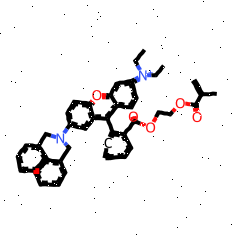 C=C(C)C(=O)OCCOC(=O)c1ccccc1-c1c2ccc(=[N+](CC)CC)cc-2oc2ccc(N(Cc3ccccc3)Cc3ccccc3)cc12